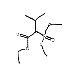 CCOC(=O)C(C(C)C)P(=O)(OC)OC